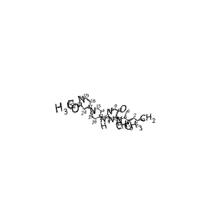 C=C/C=C(\C)C1COc2cnc(NC3CCN(c4ccnc(OC)c4)CC3)nc2N1C